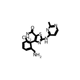 Cc1nccc(Nc2nc(-c3c(Cl)cccc3CN)c(C(N)=O)s2)n1